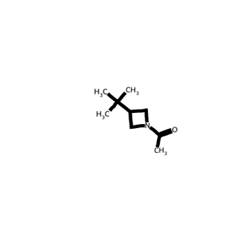 CC(=O)N1CC(C(C)(C)C)C1